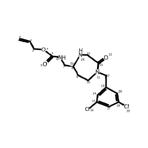 C=CCOC(=O)NC[C@@H]1CCN(Cc2cc(Cl)cc(Cl)c2)C(=O)CN1